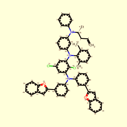 C=CC[C@@H](CC)N(c1ccccc1)c1cccc(N(c2cc(Cl)cc(N(c3cccc(-c4cc5ccccc5o4)c3)c3cccc(-c4cc5ccccc5o4)c3)c2Cl)c2c(C)cccc2C)c1